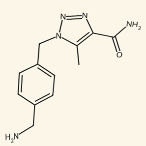 Cc1c(C(N)=O)nnn1Cc1ccc(CN)cc1